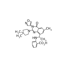 Cc1cc(C(C)Nc2ccccc2C(=O)O)c2nc(N3CCC(C)(C)CC3)n(-c3cnoc3)c(=O)c2c1